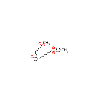 COC(=O)CCC/C=C\C[C@H]1C(=O)CC[C@@H]1C/C=C/CCCCCS(=O)(=O)c1ccc(C)cc1